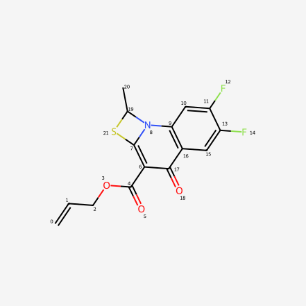 C=CCOC(=O)c1c2n(c3cc(F)c(F)cc3c1=O)C(C)S2